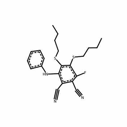 CCCCSc1c(F)c(C#N)c(C#N)c(Nc2ccccc2)c1SCCCC